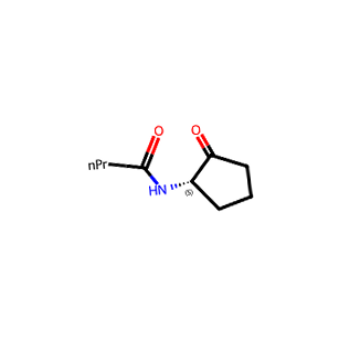 CCCC(=O)N[C@H]1CCCC1=O